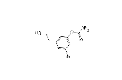 NC(=O)Oc1cc(Br)cc(CCO)c1